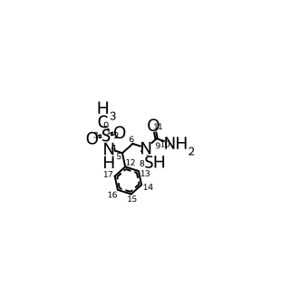 CS(=O)(=O)NC(CN(S)C(N)=O)c1ccccc1